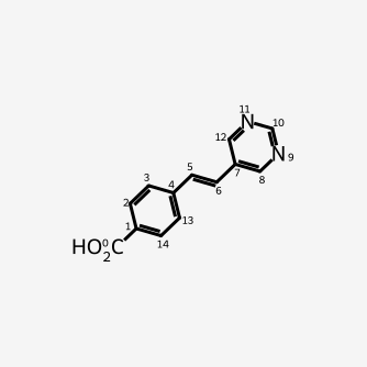 O=C(O)c1ccc(C=Cc2cncnc2)cc1